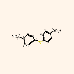 O=S(=O)(O)c1ccc(Sc2ccc(S(=O)(=O)O)cc2)cc1